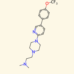 CN(C)CCN1CCN(c2ccc(-c3ccc(OC(F)(F)F)cc3)cn2)CC1